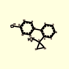 NC1(c2ccccc2-c2ccc(Cl)cc2)CC1